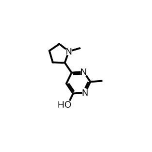 Cc1nc(O)cc(C2CCCN2C)n1